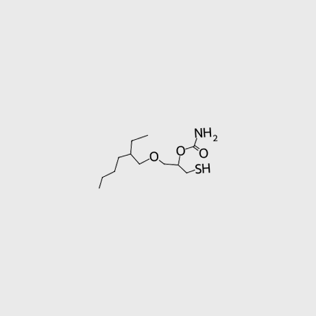 CCCCC(CC)COCC(CS)OC(N)=O